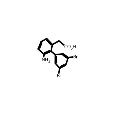 Nc1cccc(CC(=O)O)c1-c1cc(Br)cc(Br)c1